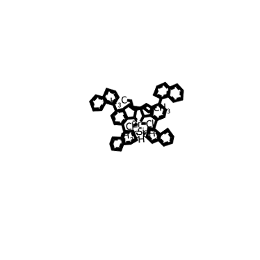 CCCC1=Cc2c(-c3cccc4ccccc34)ccc(-c3cccc4ccccc34)c2[CH]1[Zr]([Cl])([Cl])([CH]1C(CCC)=Cc2c(-c3cccc4ccccc34)ccc(-c3cccc4ccccc34)c21)[SiH](C)C